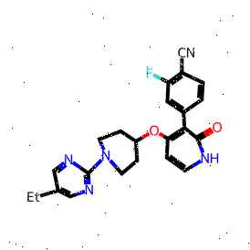 CCc1cnc(N2CCC(Oc3cc[nH]c(=O)c3-c3ccc(C#N)c(F)c3)CC2)nc1